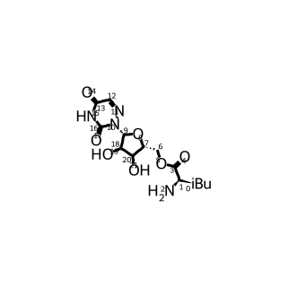 CC[C@H](C)[C@@H](N)C(=O)OC[C@H]1O[C@@H](n2ncc(=O)[nH]c2=O)C(O)C1O